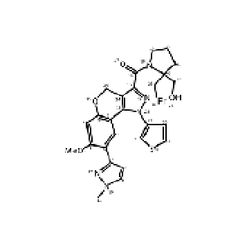 COc1cc2c(cc1-c1ccn(C)n1)-c1c(c(C(=O)N3CCCC3(CO)CC(C)C)nn1-c1ccsc1)CO2